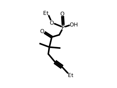 CCC#CCC(C)(C)C(=O)CP(=O)(O)OCC